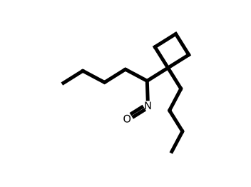 CCCCC(N=O)C1(CCCC)CCC1